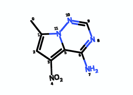 Cc1cc([N+](=O)[O-])c2c(N)ncnn12